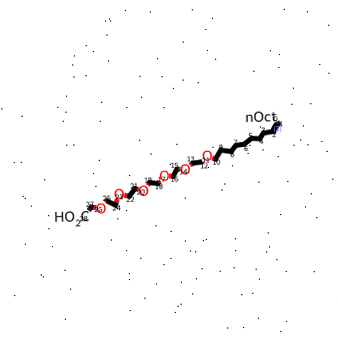 CCCCCCCC/C=C\CCCCCCCCOCCOCCOCCOCCOCCOCC(=O)O